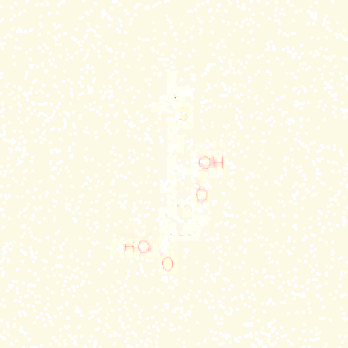 CC(C)(C)SCCCC(Cc1cccc(C(=O)O)c1)C(=O)O